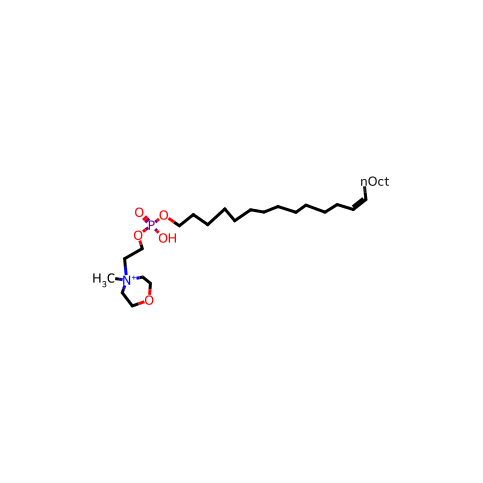 CCCCCCCC/C=C\CCCCCCCCCCCCOP(=O)(O)OCC[N+]1(C)CCOCC1